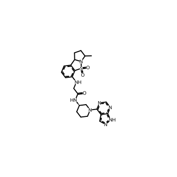 CC1CCC2c3cccc(NCC(=O)N[C@@H]4CCCN(c5ncnc6[nH]ncc56)C4)c3S(=O)(=O)N12